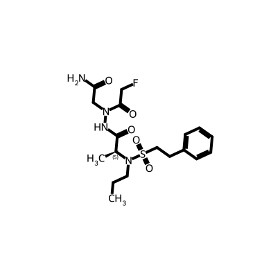 CCCN([C@@H](C)C(=O)NN(CC(N)=O)C(=O)CF)S(=O)(=O)CCc1ccccc1